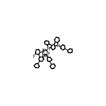 Oc1ccc(-c2ccccc2)cc1-c1c(F)cccc1-c1nc(-c2ccc(-c3ccccc3)cc2)nc(-n2c3ccccc3c3c4c5ccccc5n(-c5ccc(-c6ccccc6)cc5)c4ccc32)n1